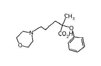 CC(CCCN1CCOCC1)(Oc1ccccc1)C(=O)O